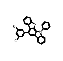 Clc1cc(Br)cc(-c2cc3c4ccccc4n(-c4ccccc4)c3c3sc4ccccc4c23)c1